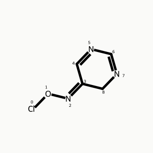 ClON=C1C=NC=NC1